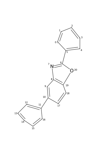 [c]1ccccc1-c1nc2cc(-c3ccccc3)ccc2o1